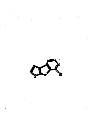 Brc1nccc2c1Cc1sccc1-2